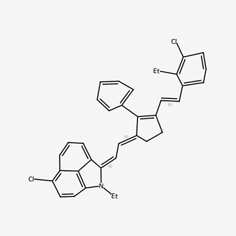 CCc1c(Cl)cccc1/C=C/C1=C(c2ccccc2)C(=C/C=c2\c3cccc4c(Cl)ccc(c43)n2CC)/CC1